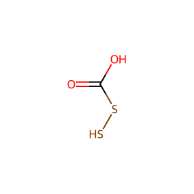 O=C(O)SS